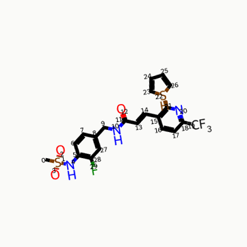 CS(=O)(=O)Nc1ccc(CNC(=O)C=Cc2ccc(C(F)(F)F)nc2[SH]2C=CC=C2)cc1F